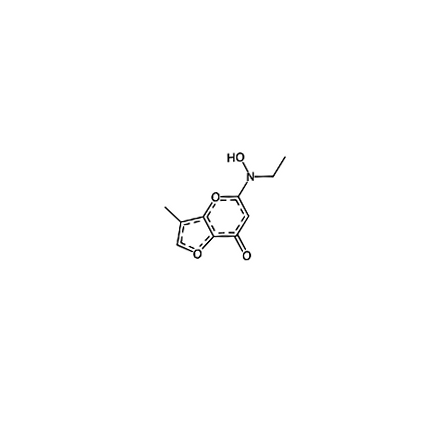 CCN(O)c1cc(=O)c2occ(C)c2o1